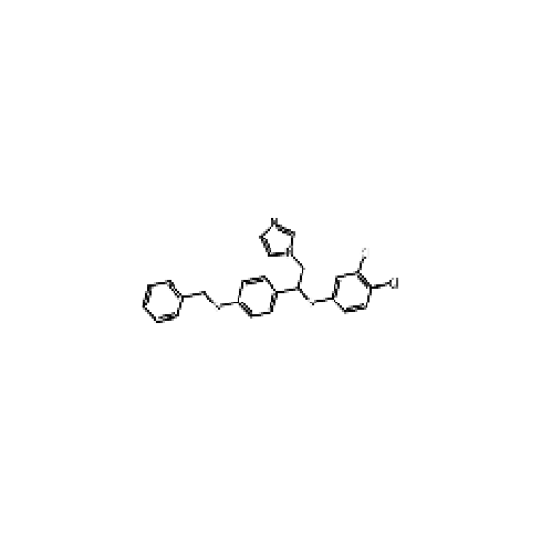 Clc1ccc(SC(Cn2ccnc2)c2ccc(SCc3ccccc3)cc2)cc1Cl